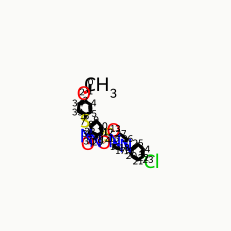 CCOc1ccc(Sc2ccc(S(=O)(=O)N3CCN(c4ccc(Cl)cc4)CC3)c3nonc23)cc1